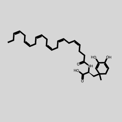 CC/C=C\C/C=C\C/C=C\C/C=C\C/C=C\C/C=C\CCC(=O)N[C@@H](CC1(C)C=C(O)C(O)=CC1)C(=O)O